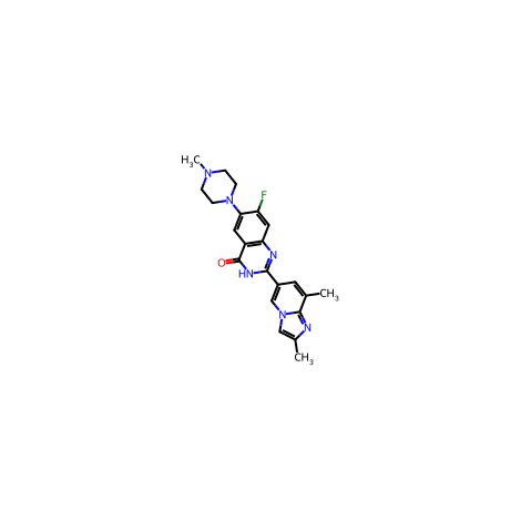 Cc1cn2cc(-c3nc4cc(F)c(N5CCN(C)CC5)cc4c(=O)[nH]3)cc(C)c2n1